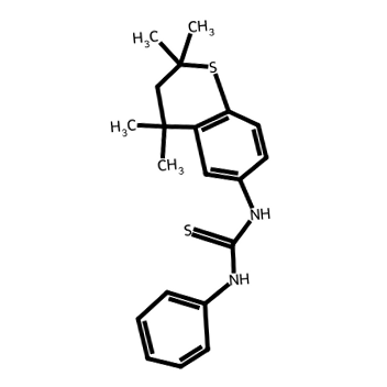 CC1(C)CC(C)(C)c2cc(NC(=S)Nc3ccccc3)ccc2S1